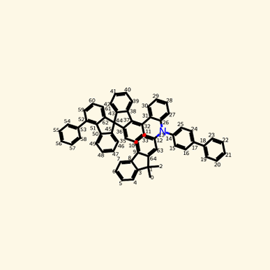 CC1(C)c2ccccc2-c2ccc(N(c3ccc(-c4ccccc4)cc3)c3ccccc3-c3cccc4c3-c3ccccc3C43c4ccccc4-c4c(-c5ccccc5)cccc43)cc21